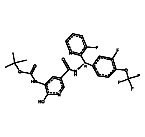 CC(C)(C)OC(=O)Nc1cc(C(=O)N[C@@H](c2ccc(OC(F)(F)F)c(F)c2)c2ncccc2F)cnc1O